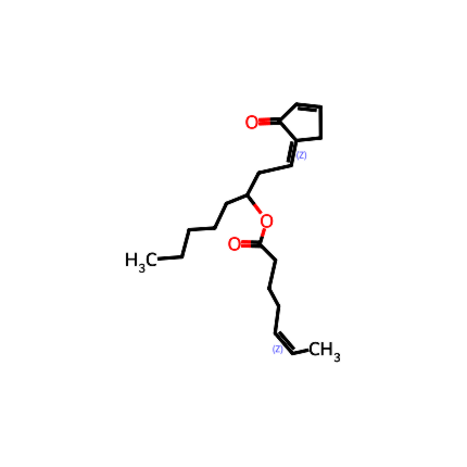 C/C=C\CCCC(=O)OC(C/C=C1/CC=CC1=O)CCCCC